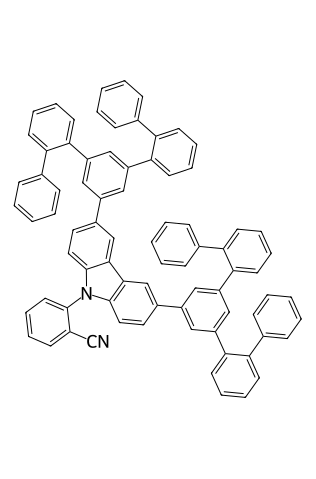 N#Cc1ccccc1-n1c2ccc(-c3cc(-c4ccccc4-c4ccccc4)cc(-c4ccccc4-c4ccccc4)c3)cc2c2cc(-c3cc(-c4ccccc4-c4ccccc4)cc(-c4ccccc4-c4ccccc4)c3)ccc21